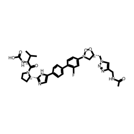 CC(=O)NCc1cn(C[C@@H]2CN(c3ccc(-c4ccc(-c5cnc([C@@H]6CCCN6C(=O)[C@@H](NC(=O)O)C(C)C)[nH]5)cc4)c(F)c3)OO2)nn1